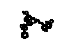 CCOC(=O)CCCN(CCCc1ccnc2ccc(OC)nc12)C[C@@H]1CN(C2=COC=C(C3=CC=CCC3)O2)C(=O)O1